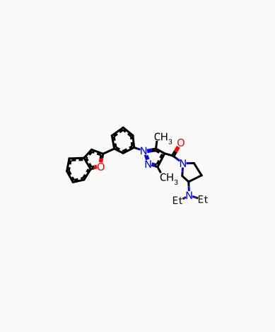 CCN(CC)C1CCN(C(=O)c2c(C)nn(-c3cccc(-c4cc5ccccc5o4)c3)c2C)C1